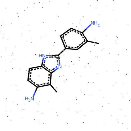 Cc1cc(-c2nc3c(C)c(N)ccc3[nH]2)ccc1N